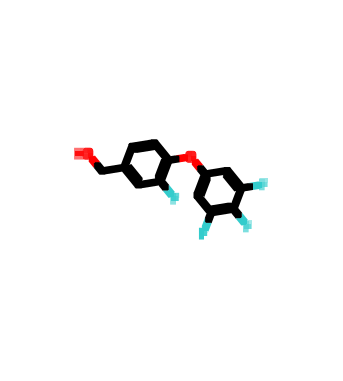 OCc1ccc(Oc2cc(F)c(F)c(F)c2)c(F)c1